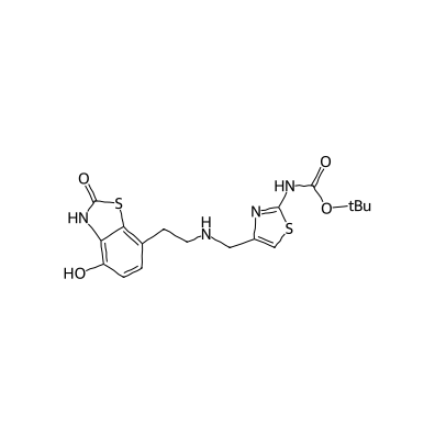 CC(C)(C)OC(=O)Nc1nc(CNCCc2ccc(O)c3[nH]c(=O)sc23)cs1